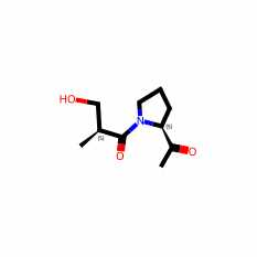 CC(=O)[C@@H]1CCCN1C(=O)[C@@H](C)CO